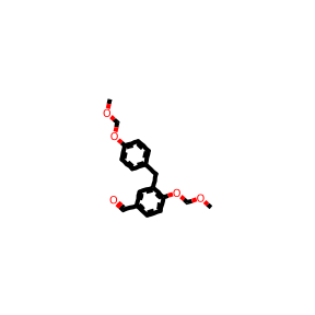 COCOc1ccc(Cc2cc(C=O)ccc2OCOC)cc1